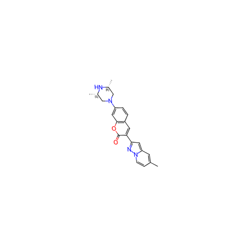 Cc1ccn2nc(-c3cc4ccc(N5C[C@@H](C)N[C@@H](C)C5)cc4oc3=O)cc2c1